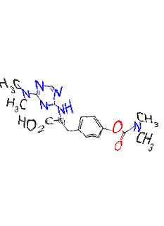 CN(C)C(=O)Oc1ccc(C[C@H](Nc2ncnc(N(C)C)n2)C(=O)O)cc1